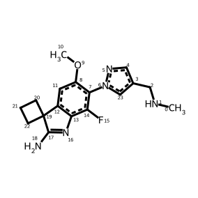 CNCc1cnn(-c2c(OC)cc3c(c2F)N=C(N)C32CCC2)c1